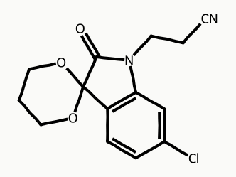 N#CCCN1C(=O)C2(OCCCO2)c2ccc(Cl)cc21